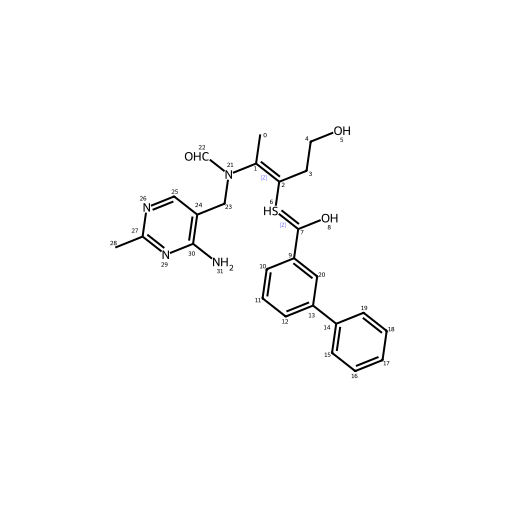 C/C(=C(CCO)/[SH]=C(\O)c1cccc(-c2ccccc2)c1)N(C=O)Cc1cnc(C)nc1N